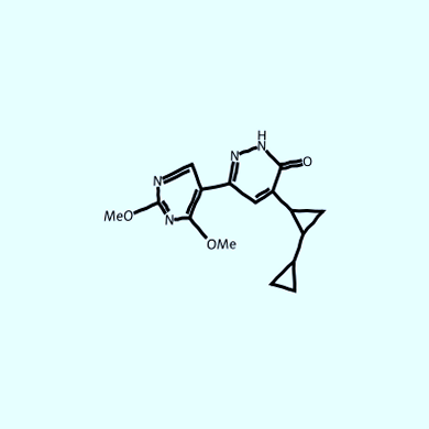 COc1ncc(-c2cc(C3CC3C3CC3)c(=O)[nH]n2)c(OC)n1